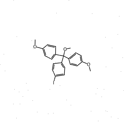 COc1ccc(C(OC)(c2ccc(I)cc2)c2ccc(OC)cc2)cc1